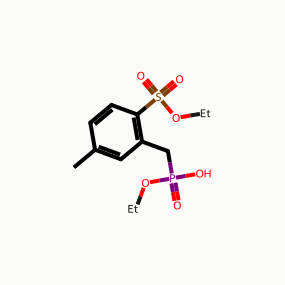 CCOP(=O)(O)Cc1cc(C)ccc1S(=O)(=O)OCC